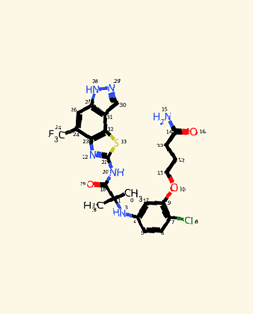 CC(C)(Nc1ccc(Cl)c(OCCCC(N)=O)c1)C(=O)Nc1nc2c(C(F)(F)F)cc3[nH]ncc3c2s1